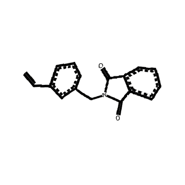 C=Cc1cccc(CN2C(=O)c3ccccc3C2=O)c1